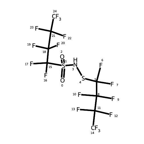 O=S(=O)(NSC(F)(F)C(F)(F)C(F)(F)C(F)(F)F)C(F)(F)C(F)(F)C(F)(F)C(F)(F)F